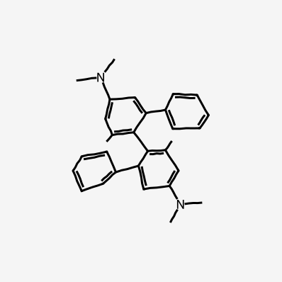 Cc1cc(N(C)C)cc(-c2ccccc2)c1-c1c(C)cc(N(C)C)cc1-c1ccccc1